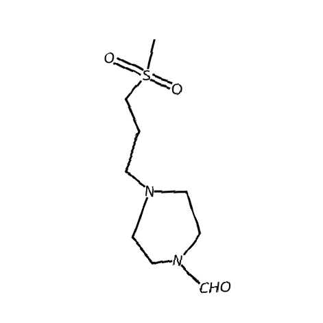 CS(=O)(=O)CCCN1CCN(C=O)CC1